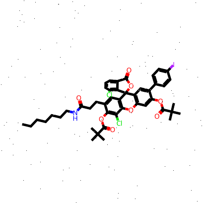 CCCCCCCNC(=O)CCc1cc2c(c(Cl)c1OC(=O)C(C)(C)C)Oc1cc(OC(=O)C(C)(C)C)c(-c3ccc(I)cc3)cc1C21OC(=O)c2cccc(Cl)c21